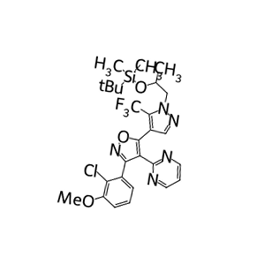 COc1cccc(-c2noc(-c3cnn(CC(C)O[Si](C)(C)C(C)(C)C)c3C(F)(F)F)c2-c2ncccn2)c1Cl